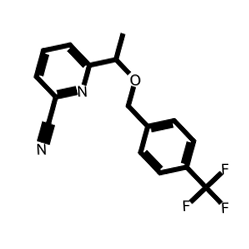 CC(OCc1ccc(C(F)(F)F)cc1)c1cccc(C#N)n1